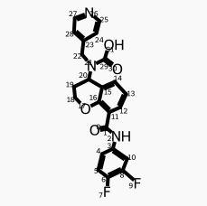 O=C(Nc1ccc(F)c(F)c1)c1cccc2c1OCCC2N(Cc1ccncc1)C(=O)O